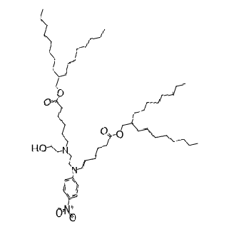 CCCCCCCCC(CCCCCCCC)COC(=O)CCCCCN(CCO)CCN(CCCCCC(=O)OCC(CCCCCCCC)CCCCCCCC)c1ccc([N+](=O)[O-])cc1